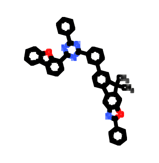 CC1(C)c2cc(-c3cccc(-c4nc(-c5ccccc5)nc(-c5cccc6c5oc5ccccc56)n4)c3)ccc2-c2cc3nc(-c4ccccc4)oc3cc21